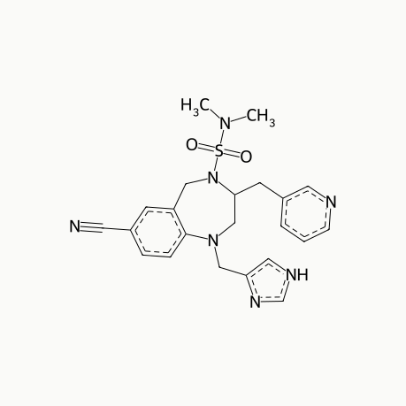 CN(C)S(=O)(=O)N1Cc2cc(C#N)ccc2N(Cc2c[nH]cn2)CC1Cc1cccnc1